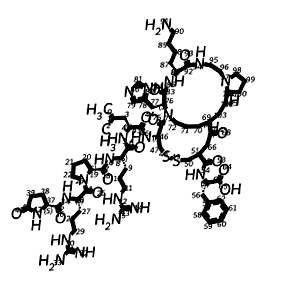 CC(C)C[C@H](NC(=O)[C@H](CCCNC(=N)N)NC(=O)[C@@H]1CCCN1C(=O)[C@H](CCCNC(=N)N)NC(=O)[C@@H]1CCC(=O)N1)C(=O)N[C@H]1CSSCC(C(=O)N[C@@H](Cc2ccccc2)C(=O)O)CC(=O)[C@@H]2CCCN(C1=O)[C@@H](Cc1cnc[nH]1)C(=O)N[C@@H](CCCCN)C(=O)NCCN1CCC[C@H]1CC2